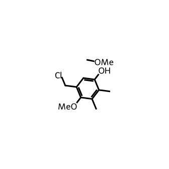 COC.COc1c(CCl)cc(O)c(C)c1C